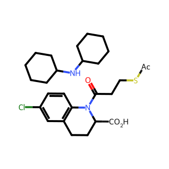 C1CCC(NC2CCCCC2)CC1.CC(=O)SCCC(=O)N1c2ccc(Cl)cc2CCC1C(=O)O